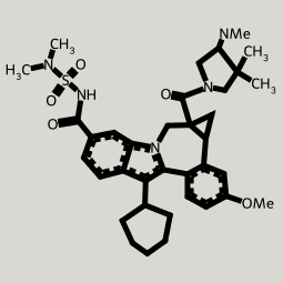 CNC1CN(C(=O)C23CC2c2cc(OC)ccc2-c2c(C4CCCCC4)c4ccc(C(=O)NS(=O)(=O)N(C)C)cc4n2C3)CC1(C)C